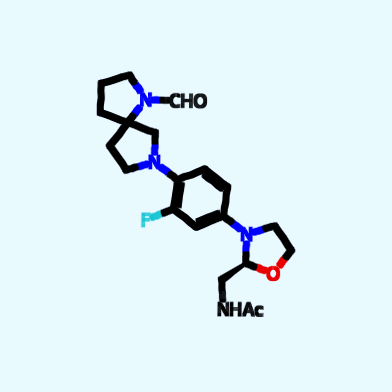 CC(=O)NC[C@@H]1OCCN1c1ccc(N2CCC3(CCCN3C=O)C2)c(F)c1